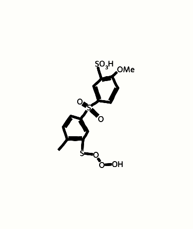 COc1ccc(S(=O)(=O)c2ccc(C)c(SOOO)c2)cc1S(=O)(=O)O